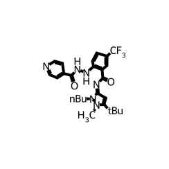 CCCCn1/c(=N/C(=O)c2cc(C(F)(F)F)ccc2NNC(=O)c2ccncc2)cc(C(C)(C)C)n1C